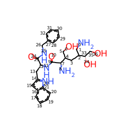 NCC(CC(CO)[C@@H](N)C(=O)N[C@@H](Cc1cc2ccccc2[nH]1)C(=O)NCc1ccccc1)[C@@H](O)CO